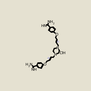 Cl.N=C(N)c1ccc(OC/C=C/CN2CCN(C/C=C/COc3ccc(C(=N)N)cc3)CC2)cc1